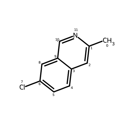 Cc1cc2ccc(Cl)cc2[c]n1